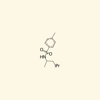 Cc1ccc(S(=O)(=O)NC(C)CC(C)C)cc1